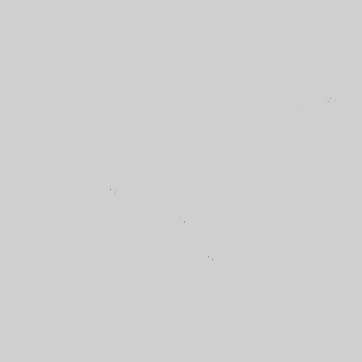 COC(=O)c1cccc(-c2ccc3c(N4CCC(NC(=O)c5cccc(Cl)c5Cl)CC4)nccc3c2)c1